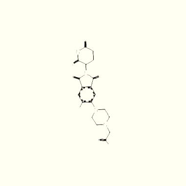 O=C(O)CN1CCN(c2cc3c(cc2F)C(=O)N(C2CCC(=O)NC2=O)C3=O)CC1